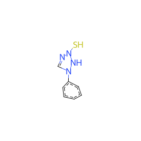 SN1N=CN(c2ccccc2)N1